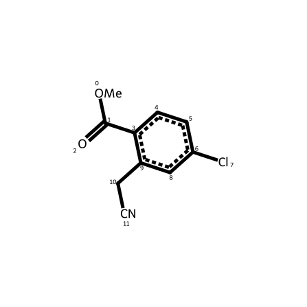 COC(=O)c1ccc(Cl)cc1CC#N